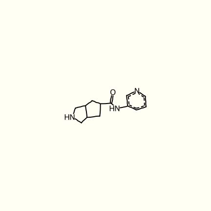 O=C(Nc1cccnc1)C1CC2CNCC2C1